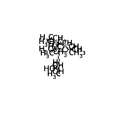 CC=C(CCCCCCC(c1ccc(C(C)(C)C)cc1C(C)(C)C)c1ccc(C(C)(C)C)cc1C(C)(C)C)[PH](O)(O)O